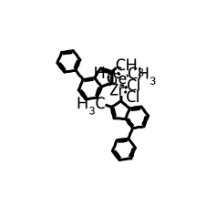 CC1=Cc2c(-c3ccccc3)cccc2[CH]1[Zr]([Cl])([Cl])([CH]1C(C)=Cc2c(-c3ccccc3)cccc21)=[Ge]([CH3])[CH3]